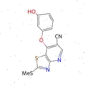 CSc1nc2ncc(C#N)c(Oc3cccc(O)c3)c2s1